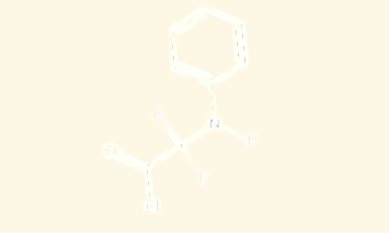 O=C(Cl)C(F)(F)N(F)c1ccccc1